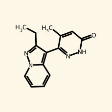 CCc1nn2ccccc2c1-c1n[nH]c(=O)cc1C